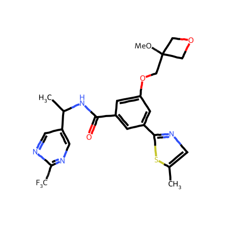 COC1(COc2cc(C(=O)NC(C)c3cnc(C(F)(F)F)nc3)cc(-c3ncc(C)s3)c2)COC1